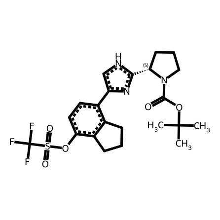 CC(C)(C)OC(=O)N1CCC[C@H]1c1nc(-c2ccc(OS(=O)(=O)C(F)(F)F)c3c2CCC3)c[nH]1